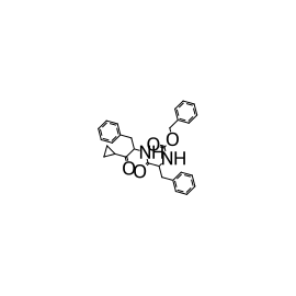 O=C(NC(Cc1ccccc1)C(=O)NC(Cc1ccccc1)C(=O)C1CC1)OCc1ccccc1